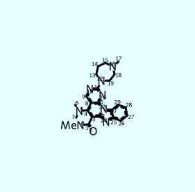 CNC(=O)c1c(N(C)C)c2cnc(N3CCCN(C)CC3)nc2n2c1nc1ccccc12